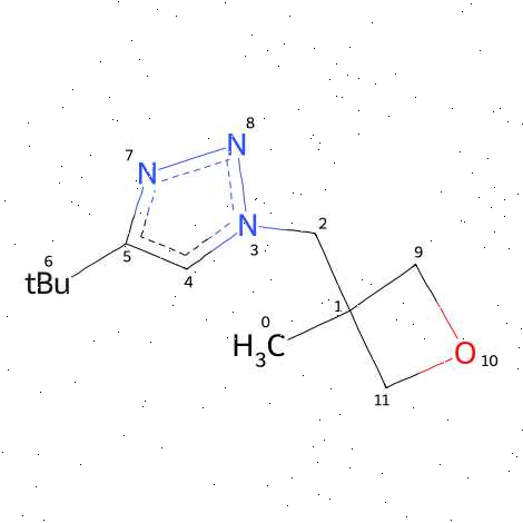 CC1(Cn2cc(C(C)(C)C)nn2)COC1